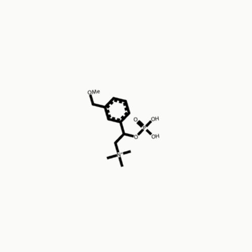 COCc1cccc(C(C[N+](C)(C)C)OP(=O)(O)O)c1